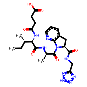 CC[C@H](C)[C@H](NC(=O)CCC(=O)O)C(=O)N[C@H](C)C(=O)N1c2ncccc2C[C@H]1C(=O)NCc1nn[nH]n1